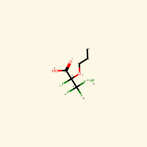 CCCOC(F)(C(=O)O)C(F)(F)F.F